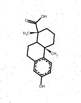 C[C@@]1(C(=O)O)CCC[C@]2(C)c3ccc(O)cc3CCC12